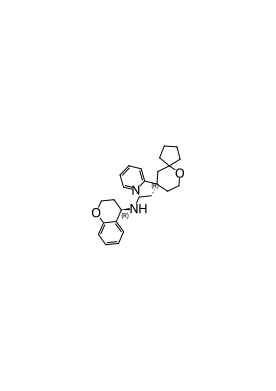 c1ccc([C@]2(CCN[C@@H]3CCOc4ccccc43)CCOC3(CCCC3)C2)nc1